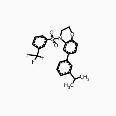 CC(C)c1cccc(-c2ccc3c(c2)N(S(=O)(=O)c2cccc(C(F)(F)F)c2)CCO3)c1